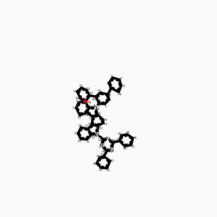 c1ccc(-c2ccc(-n3c4ccccc4c4c5c6ccccc6n(-c6nc(-c7ccccc7)nc(-c7ccccc7)n6)c5ccc43)c(-c3ccccc3)c2)cc1